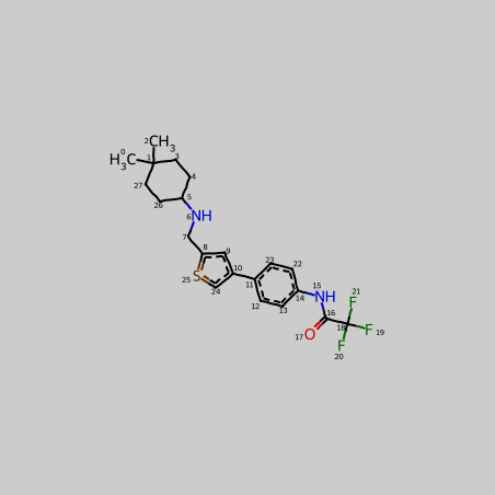 CC1(C)CCC(NCc2cc(-c3ccc(NC(=O)C(F)(F)F)cc3)cs2)CC1